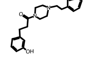 O=C(CCc1cccc(O)c1)N1CCN(CCc2ccccc2)CC1